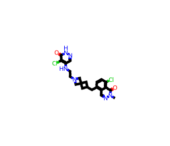 Cn1ncc2c(CC3CC4(C3)CN(CCNc3cn[nH]c(=O)c3Cl)C4)ccc(Cl)c2c1=O